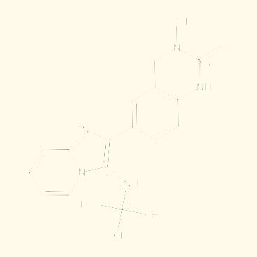 CN1Cc2cc(-c3nc4ccccn4c3NC(C)(C)C)ccc2NC1=O